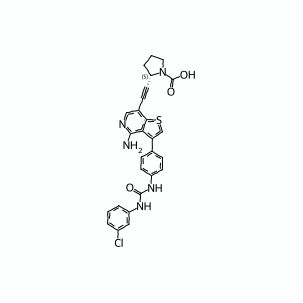 Nc1ncc(C#C[C@@H]2CCCN2C(=O)O)c2scc(-c3ccc(NC(=O)Nc4cccc(Cl)c4)cc3)c12